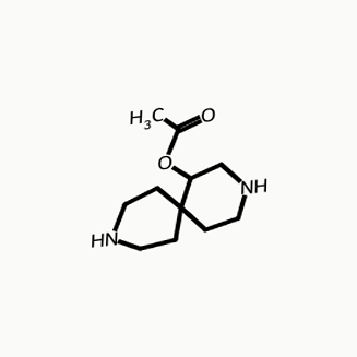 CC(=O)OC1CNCCC12CCNCC2